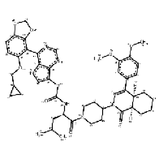 COc1ccc(C2=NN(C3CCN(C(=O)[C@@H](CC(C)C)NC(=O)Oc4c[nH]c5c(-c6c(OCC7CC7)ccc7c6OCO7)ncnc45)CC3)C(=O)[C@@H]3CCCC[C@H]23)cc1OC